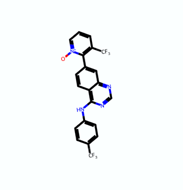 [O-][n+]1cccc(C(F)(F)F)c1-c1ccc2c(Nc3ccc(C(F)(F)F)cc3)ncnc2c1